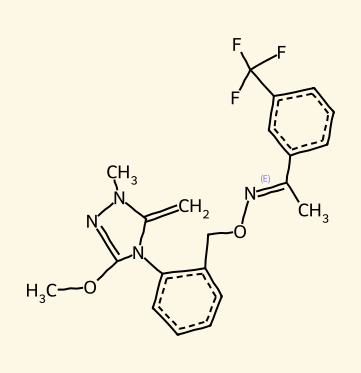 C=C1N(C)N=C(OC)N1c1ccccc1CO/N=C(\C)c1cccc(C(F)(F)F)c1